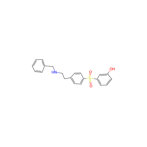 O=S(=O)(c1ccc(CCNCc2ccccc2)cc1)c1cccc(O)c1